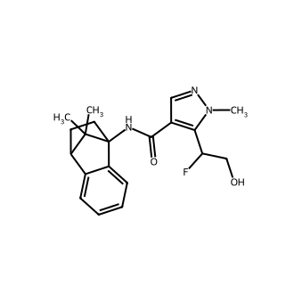 Cn1ncc(C(=O)NC23CCC(c4ccccc42)C3(C)C)c1C(F)CO